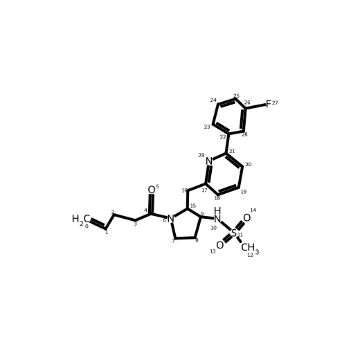 C=CCCC(=O)N1CCC(NS(C)(=O)=O)C1Cc1cccc(-c2cccc(F)c2)n1